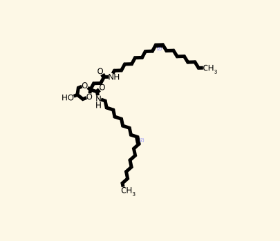 CCCCCCCC/C=C\CCCCCCCCNC(=O)CCC1(C(=O)NCCCCCCCC/C=C\CCCCCCCC)OCC(O)CO1